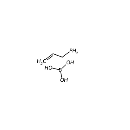 C=CCP.OB(O)O